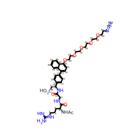 CC(=O)N[C@@H](CCCNC(=N)N)C(=O)NCC(=O)N[C@@H](CC(=O)O)c1ccc(-c2ccc(OCCOCCOCCOCCOCCN=[N+]=[N-])c3ccccc23)cc1